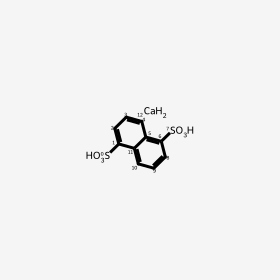 O=S(=O)(O)c1cccc2c(S(=O)(=O)O)cccc12.[CaH2]